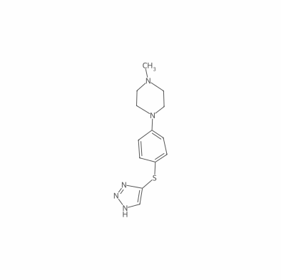 CN1CCN(c2ccc(Sc3c[nH]nn3)cc2)CC1